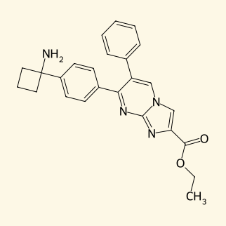 CCOC(=O)c1cn2cc(-c3ccccc3)c(-c3ccc(C4(N)CCC4)cc3)nc2n1